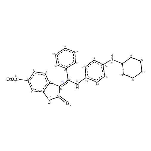 CCOC(=O)c1ccc2c(c1)NC(=O)/C2=C(\Nc1ccc(NC2CCCCC2)cc1)c1ccccc1